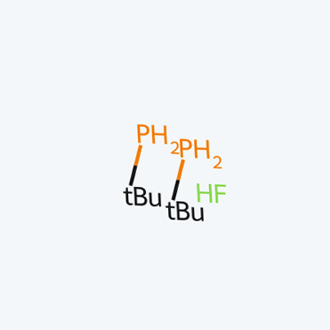 CC(C)(C)P.CC(C)(C)P.F